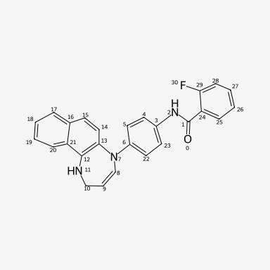 O=C(Nc1ccc(N2C=CCNc3c2ccc2ccccc32)cc1)c1ccccc1F